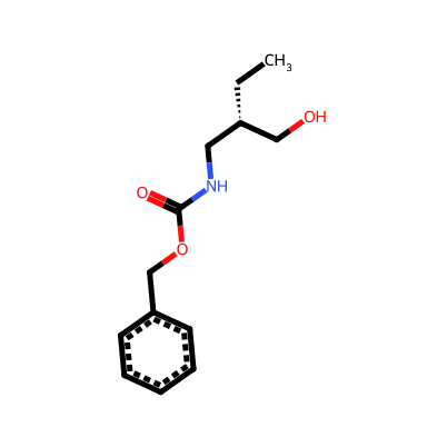 CC[C@H](CO)CNC(=O)OCc1ccccc1